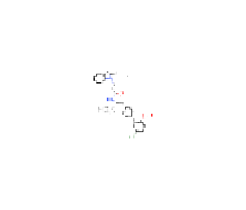 Cc1cc2ccccc2n1CCC(=O)N[C@H](Cc1ccc(-c2cc(Cl)ccc2O)cc1)C(=O)O